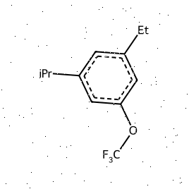 [CH2]C(C)c1cc(CC)cc(OC(F)(F)F)c1